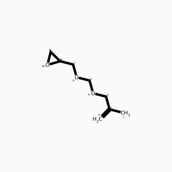 C=C(C)COCOCC1CO1